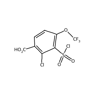 O=C(O)c1ccc(OC(F)(F)F)c(S(=O)(=O)Cl)c1Cl